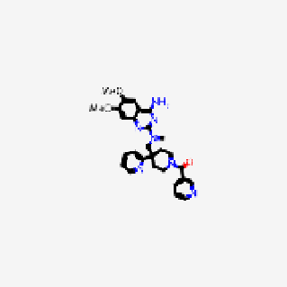 COc1cc2nc(N(C)CC3(c4ccccn4)CCN(C(=O)c4cccnc4)CC3)nc(N)c2cc1OC